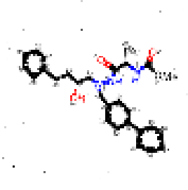 COC(=O)N[C@H](C(=O)NN(Cc1ccc(-c2ccccc2)cc1)C[C@H](O)CCc1ccccc1)C(C)(C)C